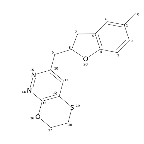 Cc1ccc2c(c1)CC(Cc1cc3c(nn1)OCCS3)O2